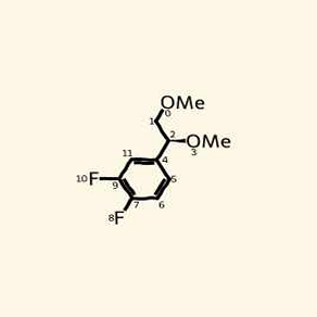 COC[C@@H](OC)c1ccc(F)c(F)c1